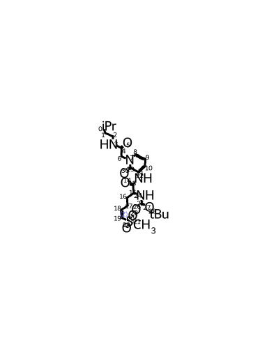 CC(C)CCNC(=O)Cn1cccc(NC(=O)C(CC/C=C\S(C)(=O)=O)NC(=O)OC(C)(C)C)c1=O